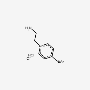 CNc1cc[n+](CCN)cc1.Cl.[Cl-]